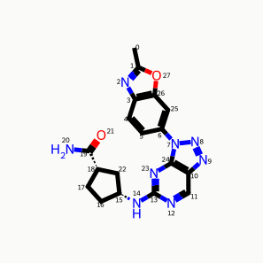 Cc1nc2ccc(-n3nnc4cnc(N[C@@H]5CC[C@H](C(N)=O)C5)nc43)cc2o1